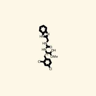 COC(O)[C@H](Cc1ccc(Cl)cc1Cl)NC(=O)NCc1nc2ccccc2[nH]1